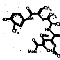 C=C/N=C(C(=O)NC(C)C(=C)S/C(=C\C)C(=O)Nc1ccc(O)c(C(F)(F)F)c1)\C(OC)=C(/C)C(=O)NC